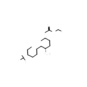 C=C(C[C@@H]1CC[C@@H](N)[C@H]([C@H]2CC[C@@H](C(F)(F)F)CC2)C1)OCC